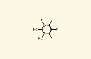 Cc1c(F)c(C)c(C#N)c(C#N)c1F